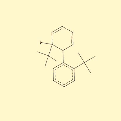 CC(C)(C)c1ccccc1C1C=CC=CC1(I)C(C)(C)C